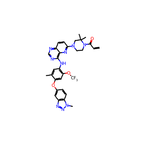 C=CC(=O)N1CCN(c2ccc3ncnc(Nc4cc(C)c(Oc5ccc6c(c5)nnn6C)cc4OC(F)(F)F)c3n2)CC1(C)C